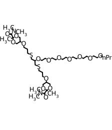 CCCOCCOCCOCCOCCOCCOCCOC(CSCCCOC1COC(C)(C(=O)N(C)C)OC1)CSCCCOC1COC(C)(C(=O)N(C)C)OC1